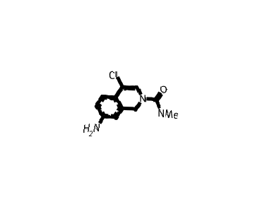 CNC(=O)N1C=C(Cl)c2ccc(N)cc2C1